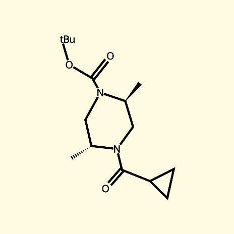 C[C@@H]1CN(C(=O)OC(C)(C)C)[C@@H](C)CN1C(=O)C1CC1